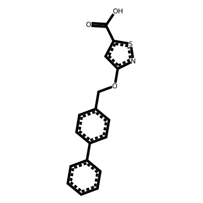 O=C(O)c1cc(OCc2ccc(-c3ccccc3)cc2)ns1